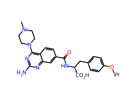 CC(C)Oc1ccc(C[C@H](NC(=O)c2ccc3c(N4CCN(C)CC4)nc(N)nc3c2)C(=O)O)cc1